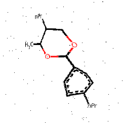 CCCc1ccc(C2OCC(CCC)C(C)O2)cc1